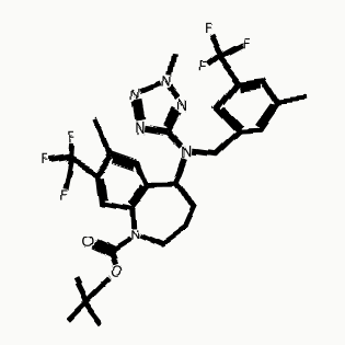 Cc1cc(CN(c2nnn(C)n2)C2CCCN(C(=O)OC(C)(C)C)c3cc(C(F)(F)F)c(C)cc32)cc(C(F)(F)F)c1